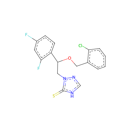 Fc1ccc(C(Cn2nc[nH]c2=S)OCc2ccccc2Cl)c(F)c1